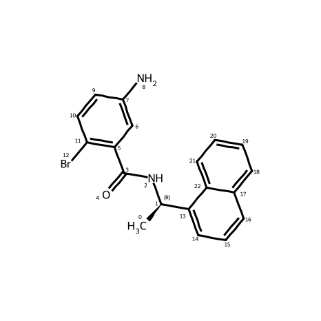 C[C@@H](NC(=O)c1cc(N)ccc1Br)c1cccc2ccccc12